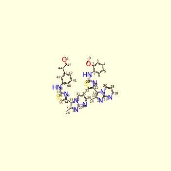 COc1ccccc1Nc1nc(-c2c(C)nc3ncccn23)cs1.Cc1nc2ncccn2c1-c1csc(Nc2cccc(CC=O)c2)n1